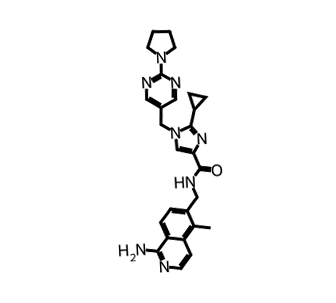 Cc1c(CNC(=O)c2cn(Cc3cnc(N4CCCC4)nc3)c(C3CC3)n2)ccc2c(N)nccc12